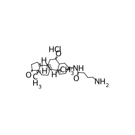 C[C@]12CC[C@H](NC(=O)CCCN)CC1C(=O)C[C@@H]1[C@@H]2CC[C@]2(C)C(=O)CC[C@@H]12.Cl